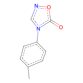 Cc1ccc(-n2cnoc2=O)cc1